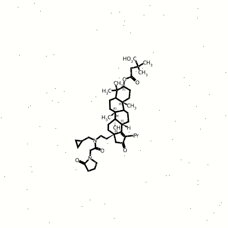 CC(C)C1=C2[C@H]3CCC4[C@@]5(C)CC[C@H](OC(=O)CC(C)(C)C(=O)O)C(C)(C)C5CC[C@@]4(C)[C@]3(C)CC[C@@]2(CCN(CC2CC2)C(=O)CN2CCCC2=O)CC1=O